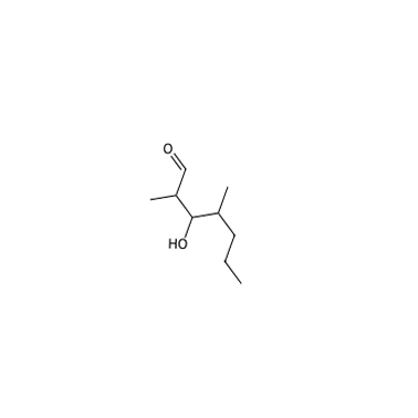 CCCC(C)C(O)C(C)C=O